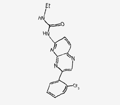 CCNC(=O)Nc1ccc2ncc(-c3ccccc3C(F)(F)F)nc2n1